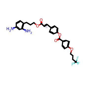 Nc1ccc(CCCOC(=O)/C=C/c2ccc(OC(=O)c3ccc(OCCCC(F)(F)F)cc3)cc2)c(N)c1